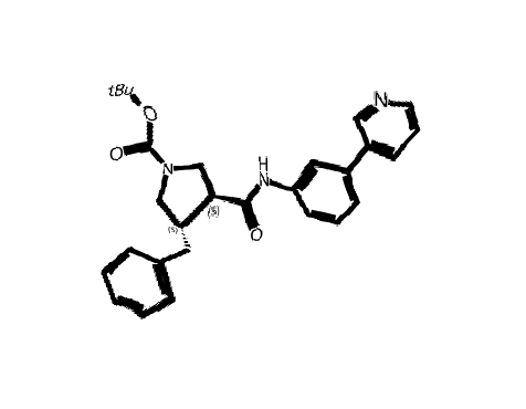 CC(C)(C)OC(=O)N1C[C@@H](Cc2ccccc2)[C@H](C(=O)Nc2cccc(-c3cccnc3)c2)C1